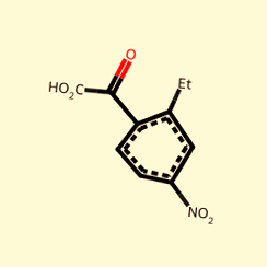 CCc1cc([N+](=O)[O-])ccc1C(=O)C(=O)O